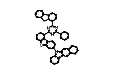 c1ccc(-c2nc(-c3cccc4c3Cc3ccccc3-4)nc(-c3cccc4oc5cc(-n6c7ccccc7c7cc8ccccc8cc76)ccc5c34)n2)cc1